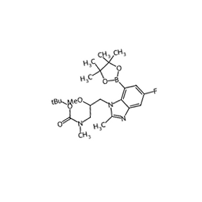 COC(CN(C)C(=O)OC(C)(C)C)Cn1c(C)nc2cc(F)cc(B3OC(C)(C)C(C)(C)O3)c21